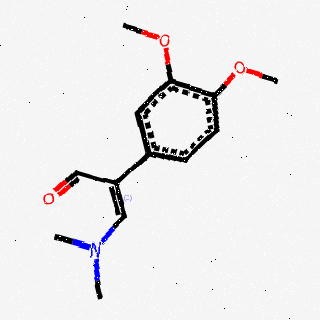 COc1ccc(/C(C=O)=C/N(C)C)cc1OC